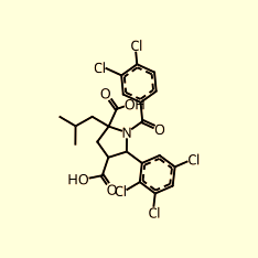 CC(C)CC1(C(=O)O)CC(C(=O)O)C(c2cc(Cl)cc(Cl)c2Cl)N1C(=O)c1ccc(Cl)c(Cl)c1